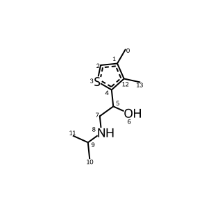 Cc1csc(C(O)CNC(C)C)c1C